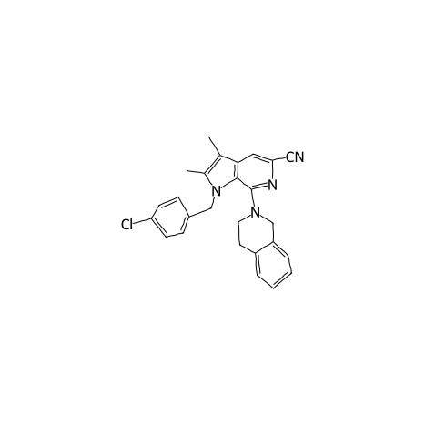 Cc1c(C)n(Cc2ccc(Cl)cc2)c2c(N3CCc4ccccc4C3)nc(C#N)cc12